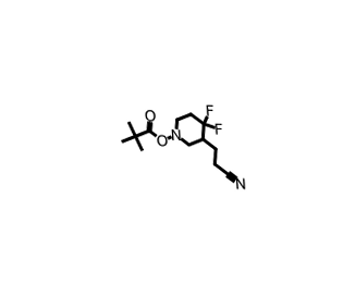 CC(C)(C)C(=O)ON1CCC(F)(F)C(CCC#N)C1